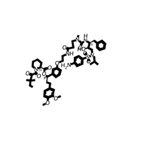 CCC(C)(C)C(=O)C(=O)N1CCCC[C@H]1C(=O)O[C@H](CCc1ccc(OC)c(OC)c1)c1cccc(OCCNC(=O)CCN(C)C(=O)N[C@@H](Cc2ccccc2)[C@H](O)CN(CC(C)C)S(=O)(=O)c2ccc(N)cc2)c1